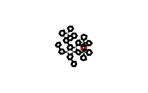 c1ccc(-c2cccc(N3c4ccc(-c5ccccc5)cc4B4c5ccc([Si](c6ccccc6)(c6ccccc6)c6ccccc6)cc5N(c5cccc([Si](c6ccccc6)(c6ccccc6)c6ccccc6)c5)c5cc(-c6cccc7c(N(c8ccccc8)c8ccccc8)c8ccccc8cc67)cc3c54)c2)cc1